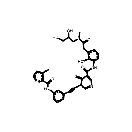 Cc1ccoc1C(=O)Nc1cccc(C#CC2C=NC=C(C(=O)Nc3cccc(CC(=O)N(C)CC(O)CO)c3O)C2=S)c1